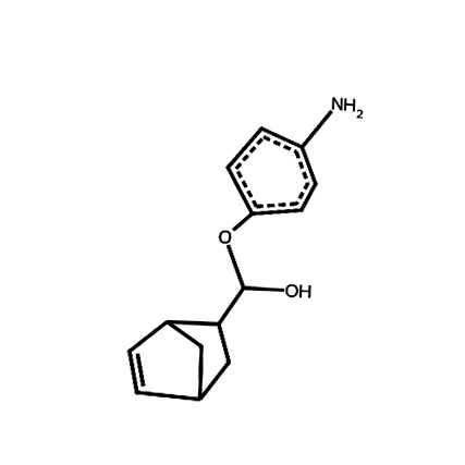 Nc1ccc(OC(O)C2CC3C=CC2C3)cc1